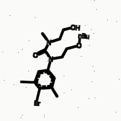 CCCCOCCN(C(=O)N(C)CCO)c1cc(C)c(Br)c(C)c1